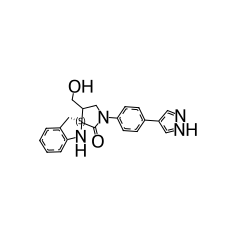 O=C1N(c2ccc(-c3cn[nH]c3)cc2)CC(CO)[C@@]12Cc1ccccc1N2